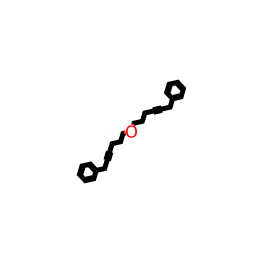 C(#CCc1ccccc1)CCCOCCCC#CCc1ccccc1